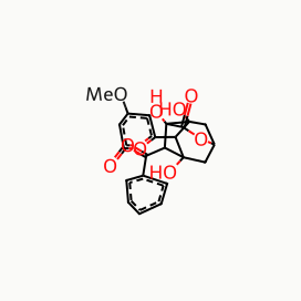 COc1cc(C2C3(O)CC4CC2(O)C(O)(C(=O)O4)C3C(=O)c2ccccc2)oc(=O)c1